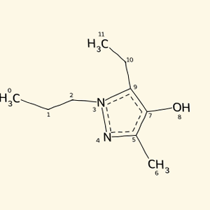 CCCn1nc(C)c(O)c1CC